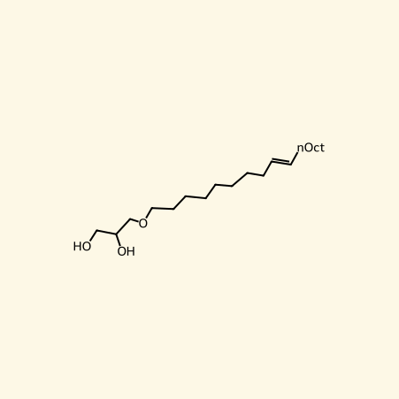 CCCCCCCCC=CCCCCCCCCOCC(O)CO